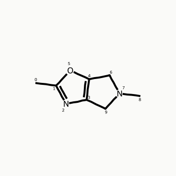 Cc1nc2c(o1)CN(C)C2